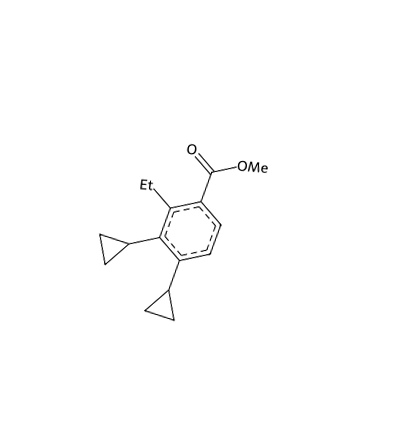 CCc1c(C(=O)OC)ccc(C2CC2)c1C1CC1